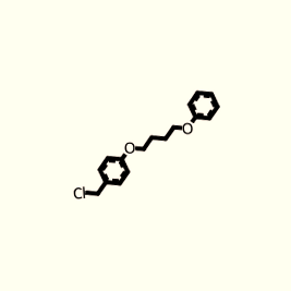 ClCc1ccc(OCCCCOc2ccccc2)cc1